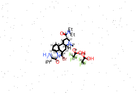 CCN(CC)C(=O)[C@@H]1C=C2c3cccc4c3c(c(Br)n4C(=O)[C@@H](N)C(C)C)C[C@H]2N(C)C1.O=C(O)C(F)(F)F.O=C(O)C(F)(F)F